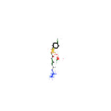 [N-]=[N+]=NCCCCCC(CS(=O)(=O)c1ccc(Cl)cc1)OC(=O)Cl